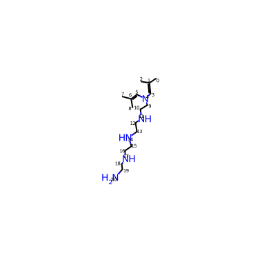 CC(C)=CN(C=C(C)C)CCNCCNCCNCCN